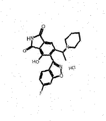 CC(c1cc2c(c(O)c1-c1noc3cc(F)ccc13)C(=O)NC2=O)N1CCCCC1.Cl